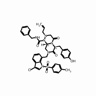 C=CCN1CC(=O)N2[C@@H](Cc3ccc(O)cc3)C(=O)N(Cc3cccc4c(Cl)cn(S(=O)(=O)c5ccc(C)cc5)c34)C[C@@H]2N1C(=O)NCc1ccccc1